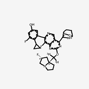 [2H]C([2H])(Oc1nc(N2CC3CCC2CN3)c2cnc(-c3cc(O)cc(F)c3C3CC3)c(F)c2n1)[C@@]12CCCN1C[C@H](F)C2